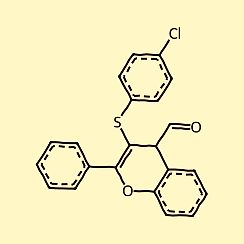 O=CC1C(Sc2ccc(Cl)cc2)=C(c2ccccc2)Oc2ccccc21